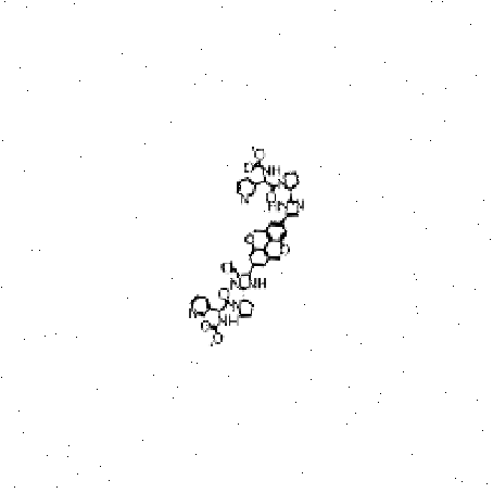 COC(=O)NC(C(=O)N1CCC[C@H]1c1ncc(-c2cc3c4c(c2)OCc2cc(-c5[nH]c([C@@H]6CCCN6C(=O)[C@H](NC(=O)OC)c6cccnc6)nc5Cl)cc(c2-4)OC3)[nH]1)c1cccnc1